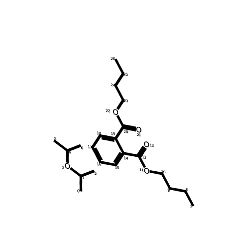 CC(C)OC(C)C.CCCCOC(=O)c1ccccc1C(=O)OCCCC